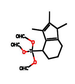 CC1=C(C)C(C)C2=C1[CH]([Ti]([O]C=O)([O]C=O)[O]C=O)CCC2